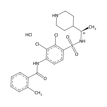 Cc1ccccc1C(=O)Nc1ccc(S(=O)(=O)N[C@H](C)C2CCNCC2)c(Cl)c1Cl.Cl